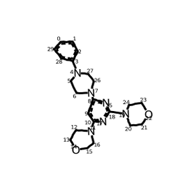 c1ccc(N2CCN(c3cc(N4CCOCC4)nc(N4CCOCC4)n3)CC2)cc1